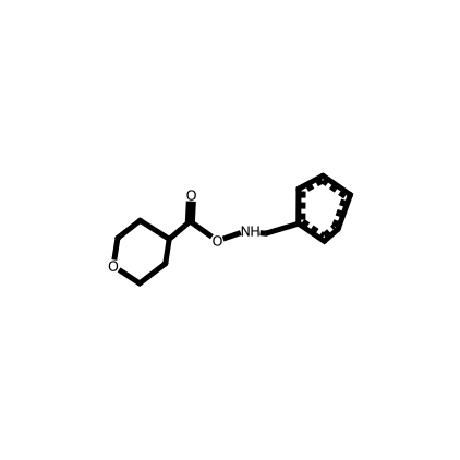 O=C(ONCc1ccccc1)C1CCOCC1